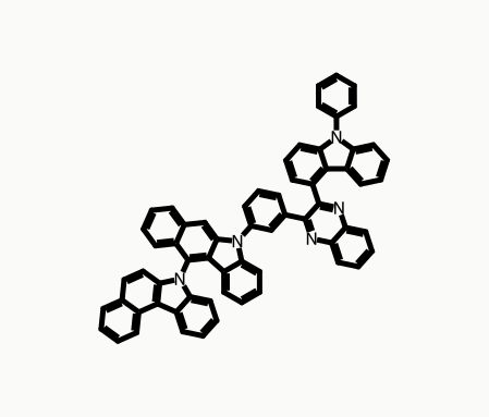 c1ccc(-n2c3ccccc3c3c(-c4nc5ccccc5nc4-c4cccc(-n5c6ccccc6c6c(-n7c8ccccc8c8c9ccccc9ccc87)c7ccccc7cc65)c4)cccc32)cc1